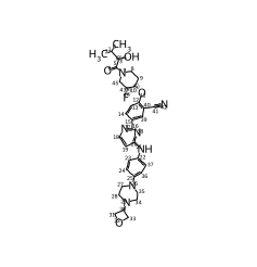 CC(C)[C@@H](O)C(=O)N1CC[C@H](Oc2ccc(-c3nccc(Nc4ccc(N5CCN(C6COC6)CC5)cc4)n3)cc2C#N)[C@H](F)C1